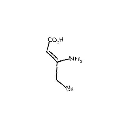 CCC(C)CC(N)=CC(=O)O